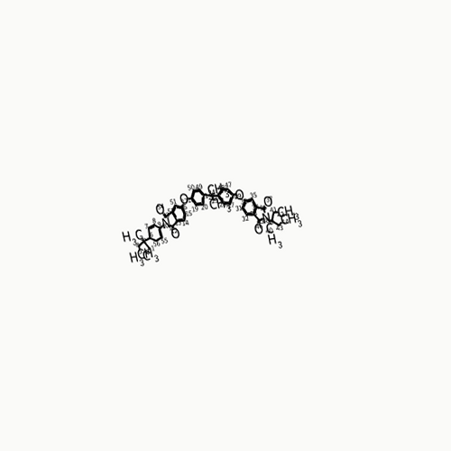 CCC(C)(CC)C1C=CC(N2C(=O)c3ccc(Oc4ccc(C(C)(C)c5ccc(Oc6ccc7c(c6)C(=O)N(C(C)(CC)CC)C7=O)cc5)cc4)cc3C2=O)=CC1